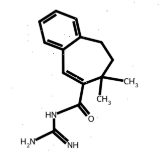 CC1(C)CCc2ccccc2C=C1C(=O)NC(=N)N